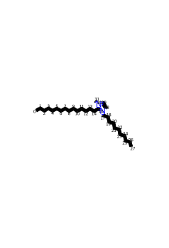 CCCCCCCCCCCCCCCc1n(CCCCCCCCCCC)cc[n+]1C